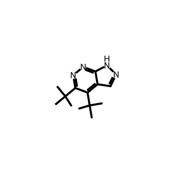 CC(C)(C)c1nnc2[nH]ncc2c1C(C)(C)C